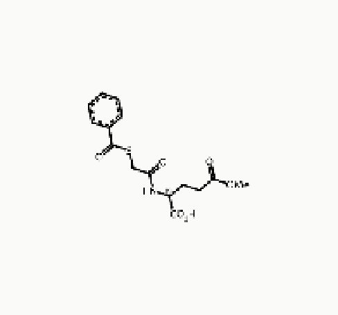 COC(=O)CC[C@H](NC(=O)CSC(=O)c1ccccc1)C(=O)O